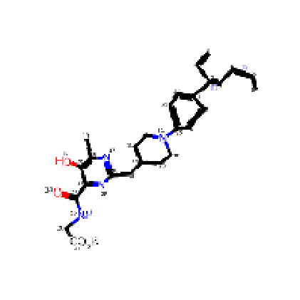 C=C/C(=C\C=C/C)c1ccc(N2CCC(Cc3nc(C)c(O)c(C(=O)NCC(=O)O)n3)CC2)cc1